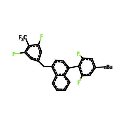 CCCCc1cc(F)c(-c2ccc(Cc3cc(F)c(C(F)(F)F)c(F)c3)c3ccccc23)c(F)c1